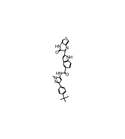 Cn1nc(-c2ccc(C(C)(C)C)cc2)cc1NC(=O)c1ccc2[nH]c(-c3nc4cscc4[nH]c3=O)cc2c1